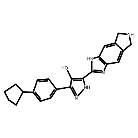 Oc1c(-c2ccc(C3CCCC3)cc2)n[nH]c1-c1nc2cc3c(cc2[nH]1)CNC3